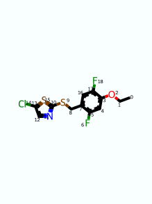 CCOc1cc(F)c(CSc2ncc(Cl)s2)cc1F